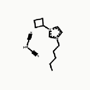 CCCCCn1cc[n+](C2CCC2)c1.N#CNC#N